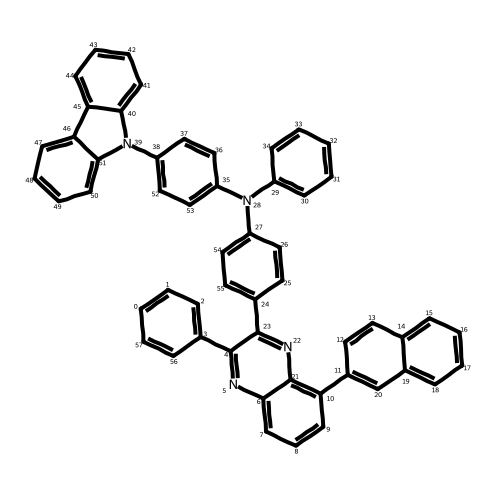 c1ccc(-c2nc3cccc(-c4ccc5ccccc5c4)c3nc2-c2ccc(N(c3ccccc3)c3ccc(-n4c5ccccc5c5ccccc54)cc3)cc2)cc1